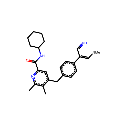 CN/C=C(\C=N)c1ccc(Cc2cc(C(=O)NC3CCCCC3)nc(C)c2C)cc1